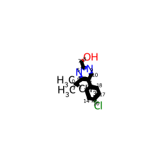 CC(C)(C)c1nc(CO)ncc1-c1ccc(Cl)cc1